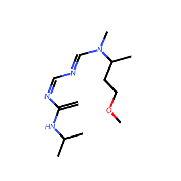 C=C(/N=C\N=C\N(C)C(C)CCOC)NC(C)C